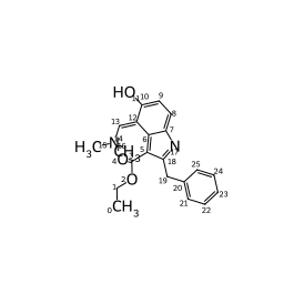 CCOC(=O)C1=c2c(ccc(O)/c2=C/N(C)C)N=C1Cc1ccccc1